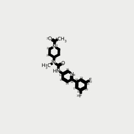 CC(=O)N1CCC(N(C)C(=O)Nc2ccc(-c3cc(F)cc(F)c3)nc2)CC1